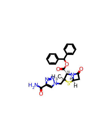 C[C@@]1(Cn2cc(C(N)=O)nn2)S[C@@H]2CC(=O)N2[C@H]1C(=O)OC(c1ccccc1)c1ccccc1